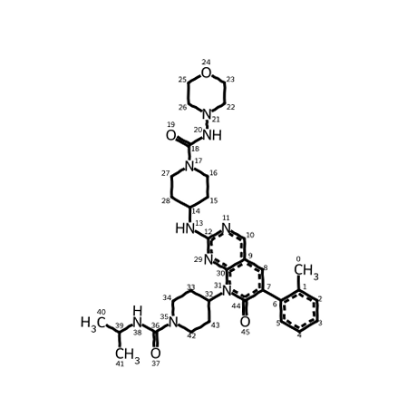 Cc1ccccc1-c1cc2cnc(NC3CCN(C(=O)NN4CCOCC4)CC3)nc2n(C2CCN(C(=O)NC(C)C)CC2)c1=O